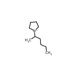 CCCCC(C)[N+]1CCCC1